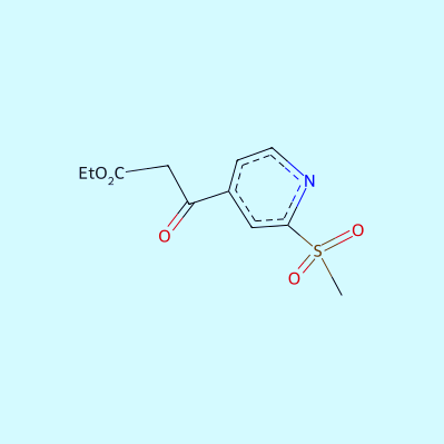 CCOC(=O)CC(=O)c1ccnc(S(C)(=O)=O)c1